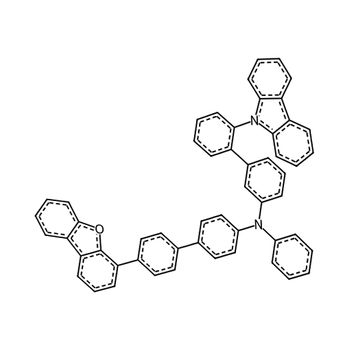 c1ccc(N(c2ccc(-c3ccc(-c4cccc5c4oc4ccccc45)cc3)cc2)c2cccc(-c3ccccc3-n3c4ccccc4c4ccccc43)c2)cc1